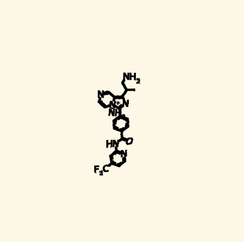 CC(CN)C1=C2C=NC=C[N+]2(N)C(c2ccc(C(=O)Nc3cc(C(F)(F)F)ccn3)cc2)=N1